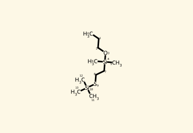 CCCO[Si](C)(C)CCS[Si](C)(C)C